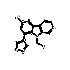 FC(F)(F)Cn1c2cnccc2c2cc(Cl)cc(-c3cn[nH]c3)c21